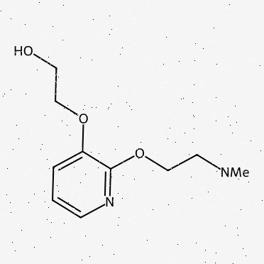 CNCCOc1ncccc1OCCO